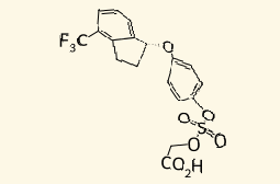 O=C(O)COS(=O)(=O)Oc1ccc(O[C@@H]2CCc3c2cccc3C(F)(F)F)cc1